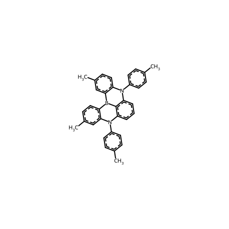 Cc1ccc(N2c3ccc(C)cc3B3c4ccc(C)cc4N(c4ccc(C)cc4)c4cccc2c43)cc1